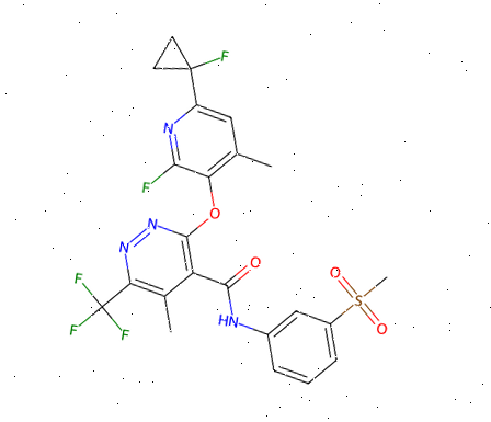 Cc1cc(C2(F)CC2)nc(F)c1Oc1nnc(C(F)(F)F)c(C)c1C(=O)Nc1cccc(S(C)(=O)=O)c1